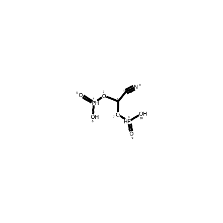 N#CC(O[PH](=O)O)O[PH](=O)O